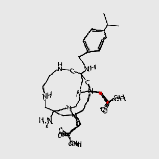 CC(C)c1ccc(CNC23CNCCNCC(N)(CN(CC(=O)O)CCN(CC(=O)O)C2)CN(CC(=O)O)CCN(CC(=O)O)C3)cc1